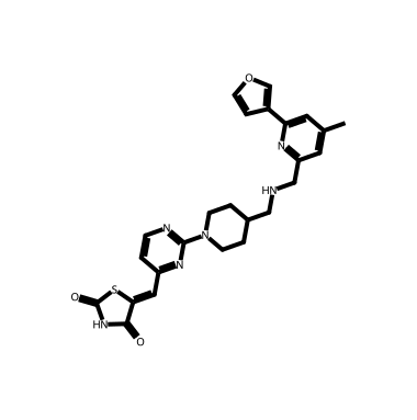 Cc1cc(CNCC2CCN(c3nccc(/C=C4\SC(=O)NC4=O)n3)CC2)nc(-c2ccoc2)c1